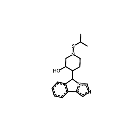 CC(C)SN1CCC(C2c3ccccc3-c3cncn32)C(O)C1